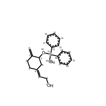 C=C1CC/C(=C/CO)CC1O[Si](c1ccccc1)(c1ccccc1)C(C)(C)C